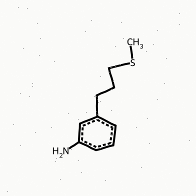 CSCCCc1cccc(N)c1